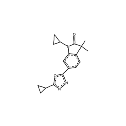 CC1(C)C(=O)N(C2CC2)c2cc(-c3nnc(C4CC4)o3)ccc21